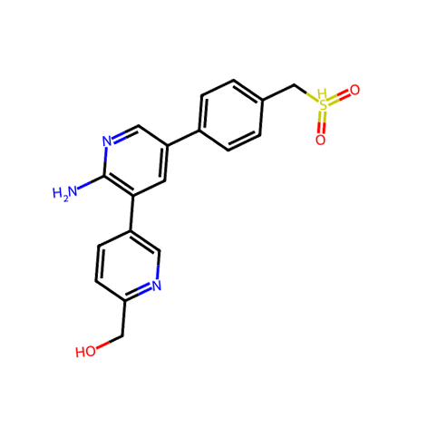 Nc1ncc(-c2ccc(C[SH](=O)=O)cc2)cc1-c1ccc(CO)nc1